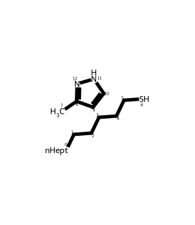 CCCCCCCCCCCCS.Cc1cc[nH]n1